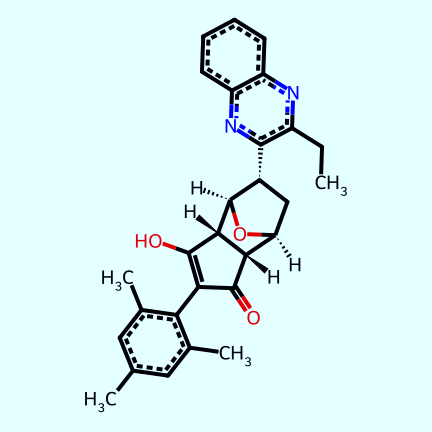 CCc1nc2ccccc2nc1[C@@H]1C[C@@H]2O[C@H]1[C@H]1C(O)=C(c3c(C)cc(C)cc3C)C(=O)[C@H]12